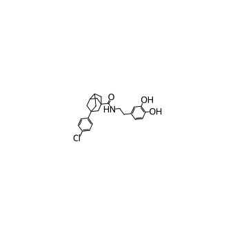 O=C(NCCc1ccc(O)c(O)c1)C12CC3CC(c4ccc(Cl)cc4)(CC3C1)C2